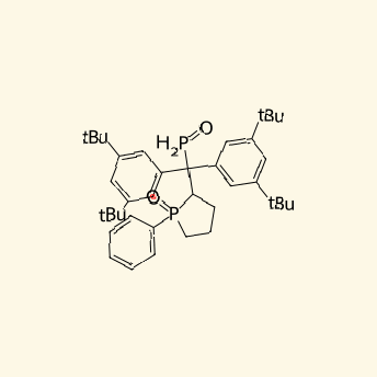 CC(C)(C)c1cc(C(C)(C)C)cc(C([PH2]=O)(c2cc(C(C)(C)C)cc(C(C)(C)C)c2)C2CCCP2(=O)c2ccccc2)c1